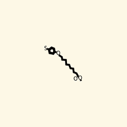 COC(=O)CCCCCCCCCCOc1ccc(SC)cc1